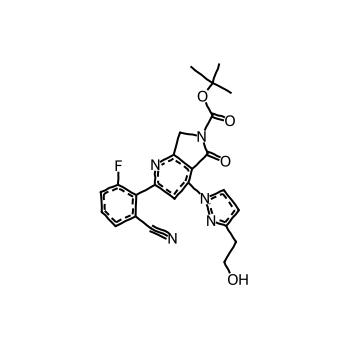 CC(C)(C)OC(=O)N1Cc2nc(-c3c(F)cccc3C#N)cc(-n3ccc(CCO)n3)c2C1=O